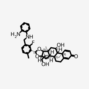 Cc1ccc(CNc2ccccc2N)c(F)c1[C@H]1O[C@@H]2C[C@H]3[C@@H]4CCC5=CC(=O)C=C[C@]5(C)[C@H]4[C@@H](O)C[C@]3(C)[C@]2(C(=O)CO)O1